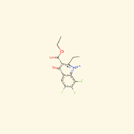 CCOC(=O)c1c(CC)[nH]c2c(F)c(F)c(F)cc2c1=O